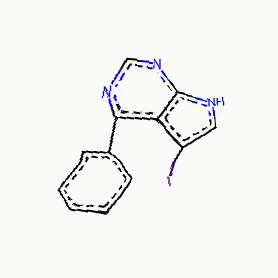 Ic1c[nH]c2ncnc(-c3ccccc3)c12